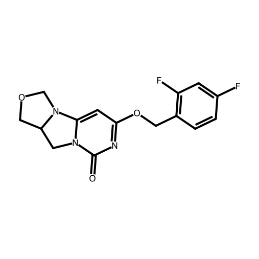 O=c1nc(OCc2ccc(F)cc2F)cc2n1CC1COCN21